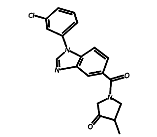 CC1CN(C(=O)c2ccc3c(c2)ncn3-c2cccc(Cl)c2)CC1=O